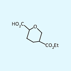 CCOC(=O)C1CCC(C(=O)O)OC1